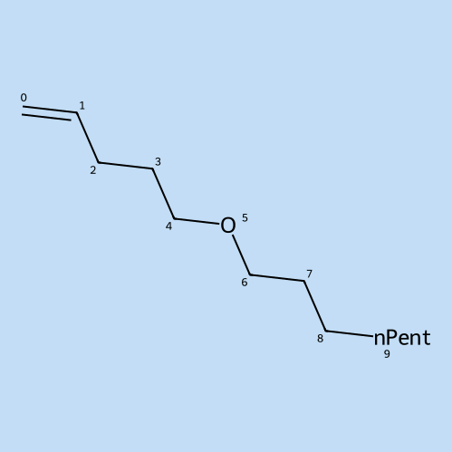 C=CCCCOCCCCCCCC